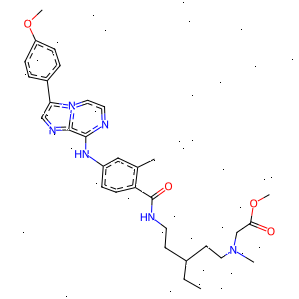 CCC(CCNC(=O)c1ccc(Nc2nccn3c(-c4ccc(OC)cc4)cnc23)cc1C)CCN(C)CC(=O)OC